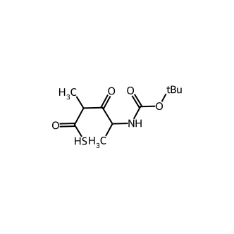 CC(NC(=O)OC(C)(C)C)C(=O)C(C)C(=O)S